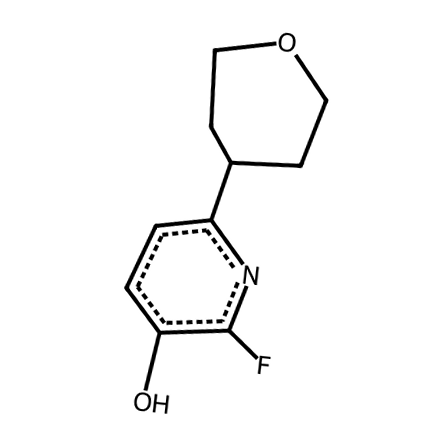 Oc1ccc(C2CCOCC2)nc1F